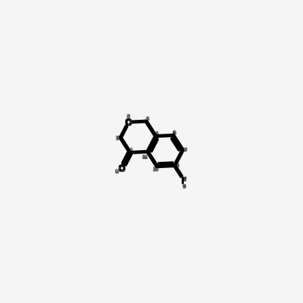 O=C1COCc2ccc(F)cc21